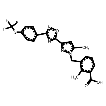 Cc1c(Cn2nc(-c3nc(-c4ccc(SC(F)(F)F)cc4)no3)cc2C)cccc1C(=O)O